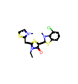 CCn1c(=O)/c(=C2\Sc3cccc(Cl)c3N2C)s/c1=C\c1scc[n+]1C